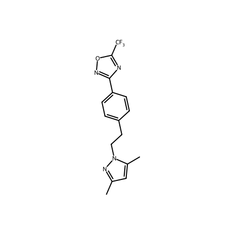 Cc1cc(C)n(CCc2ccc(-c3noc(C(F)(F)F)n3)cc2)n1